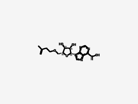 C=C(C)CCOC[C@H]1O[C@@H](n2cnc3c(NO)ncnc32)[C@H](O)[C@@H]1O